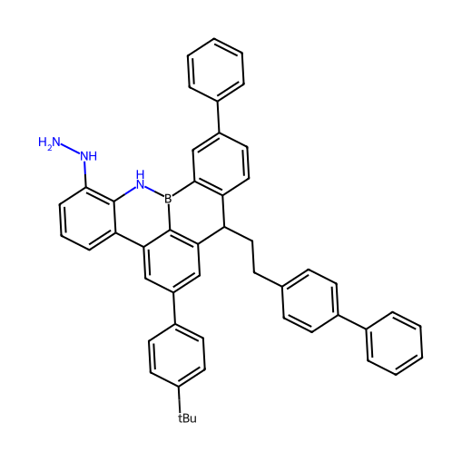 CC(C)(C)c1ccc(-c2cc3c4c(c2)C(CCc2ccc(-c5ccccc5)cc2)c2ccc(-c5ccccc5)cc2B4Nc2c(NN)cccc2-3)cc1